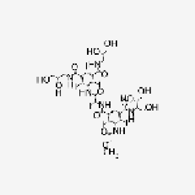 COCC(=O)Nc1c(I)c(C(=O)NC(I)C(=O)Nc2c(I)c(C(=O)NCC(O)CO)c(I)c(C(=O)NCC(O)CO)c2I)cc(C(=O)NC(CO)C(O)CO)c1I